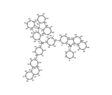 c1ccc(-n2c3cc(-c4ccc(N(c5ccc(-c6ccc7c(ccc8ccccc87)c6)cc5)c5ccc6c(c5)C5(c7ccccc7-c7ccccc75)c5ccccc5-6)cc4)ccc3c3ccc4ccccc4c32)cc1